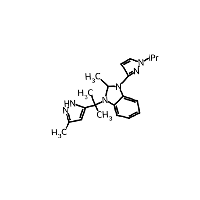 Cc1cc(C(C)(C)N2c3ccccc3N(c3ccn(C(C)C)n3)C2C)[nH]n1